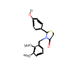 CCOc1ccc(C2SCC(=O)N2Cc2cccc(OC)c2OC)cc1